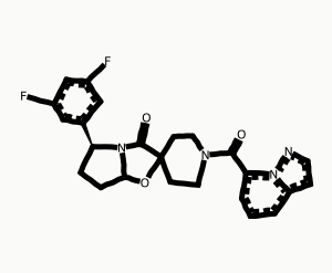 O=C(c1cccc2ccnn12)N1CCC2(CC1)OC1CC[C@@H](c3cc(F)cc(F)c3)N1C2=O